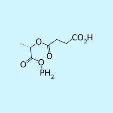 C[C@H](OC(=O)CCC(=O)O)C(=O)OP